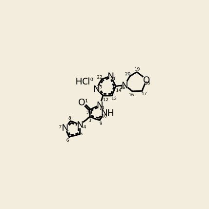 Cl.O=c1c(-n2ccnc2)c[nH]n1-c1cc(N2CCOCC2)ncn1